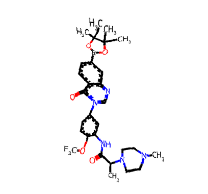 CC(C(=O)Nc1cc(-n2cnc3cc(B4OC(C)(C)C(C)(C)O4)ccc3c2=O)ccc1OC(F)(F)F)N1CCN(C)CC1